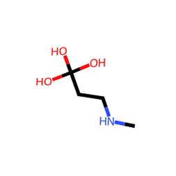 CNCCC(O)(O)O